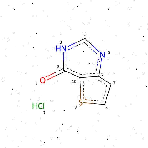 Cl.O=c1[nH]cnc2ccsc12